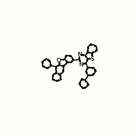 c1ccc(-c2cccc(-c3nc(-c4ccc5oc6c(-c7ccccc7)c7ccccc7cc6c5c4)nc4c3sc3ccccc34)c2)cc1